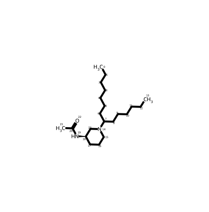 CCCCCCCC(CCCCCC)N1CCC[C@@H](NC(C)=O)C1